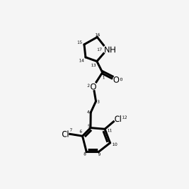 O=C(OCCc1c(Cl)cccc1Cl)C1CCCN1